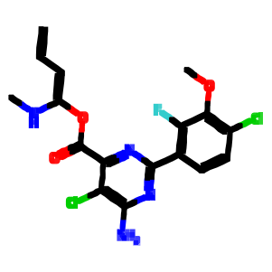 C=C/C=C(\NC)OC(=O)c1nc(-c2ccc(Cl)c(OC)c2F)nc(N)c1Cl